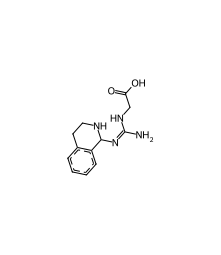 NC(=NC1NCCc2ccccc21)NCC(=O)O